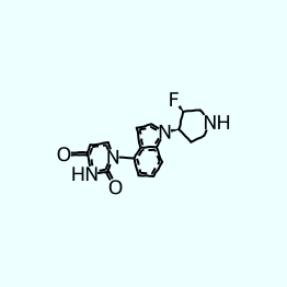 O=c1ccn(-c2cccc3c2ccn3[C@@H]2CCNC[C@@H]2F)c(=O)[nH]1